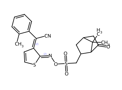 Cc1ccccc1/C(C#N)=C1\C=CS\C1=N/OS(=O)(=O)CC1CC2CC(=O)C1C2(C)C